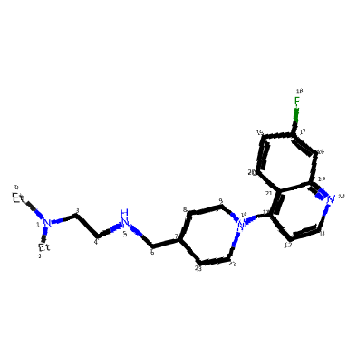 CCN(CC)CCNCC1CCN(c2ccnc3cc(F)ccc23)CC1